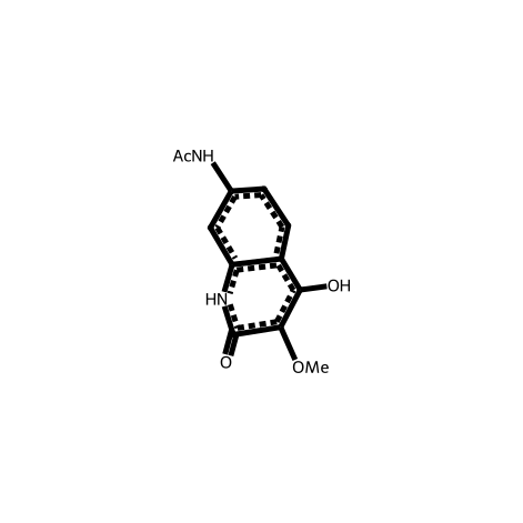 COc1c(O)c2ccc(NC(C)=O)cc2[nH]c1=O